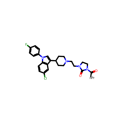 CCCC(=O)N1CCN(CCN2CCC(c3cn(-c4ccc(F)cc4)c4ccc(Cl)cc34)CC2)C1=O